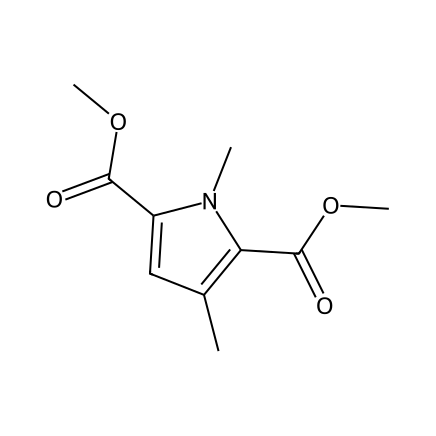 COC(=O)c1cc(C)c(C(=O)OC)n1C